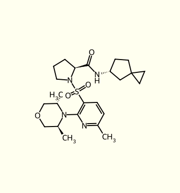 Cc1ccc(S(=O)(=O)N2CCC[C@H]2C(=O)N[C@@H]2CCC3(CC3)C2)c(N2[C@@H](C)COC[C@@H]2C)n1